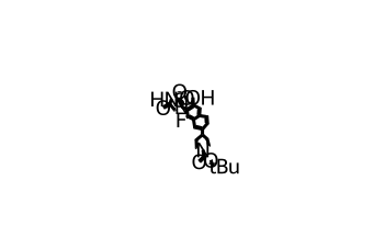 CC(C)(C)OC(=O)N1CCC(c2ccc3cc(O)c(N4CC(=O)NS4(=O)=O)c(F)c3c2)CC1